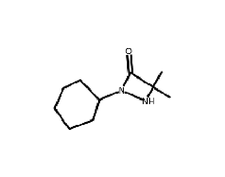 CC1(C)NN(C2CCCCC2)C1=O